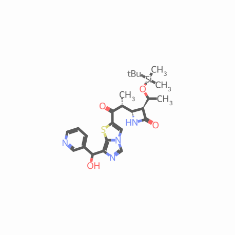 CC(O[Si](C)(C)C(C)(C)C)[C@H]1C(=O)N[C@@H]1[C@@H](C)C(=O)c1cn2cnc(C(O)c3cccnc3)c2s1